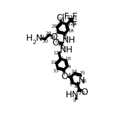 CNC(=O)c1cc(Oc2ccc(CNC(=O)Nc3cc(C(F)(F)F)c(Cl)cc3OCCN)cc2)ccn1